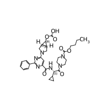 CCCCOC(=O)N1CCN(C(=O)[C@@H](NC(=O)c2cc(N3C[C@@H]4[C@H](C3)[C@@H]4OC(=O)O)nc(-c3ccccc3)n2)C2CC2)CC1